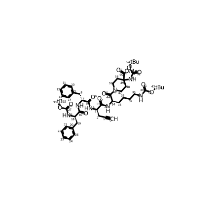 C#CC[C@@H](NC(=O)[C@@H](Cc1ccccc1)NC(=O)[C@@H](Cc1ccccc1)NC(=O)OC(C)(C)C)C(=O)N[C@H](CCCCNC(=O)OC(C)(C)C)C(=O)N1CCC(NC(=O)OC(C)(C)C)(C(=O)OC)CC1